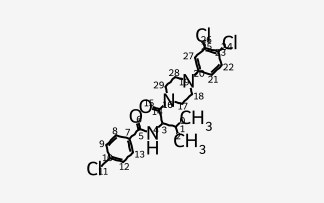 CC(C)C(NC(=O)c1ccc(Cl)cc1)C(=O)N1CCN(c2ccc(Cl)c(Cl)c2)CC1